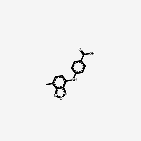 Cc1ccc(Nc2ccc(C(=O)O)cc2)c2nonc12